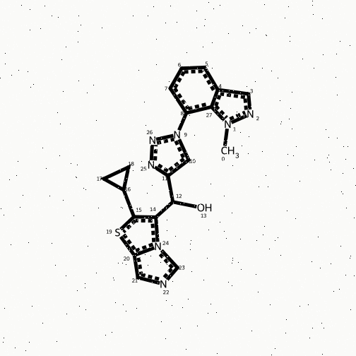 Cn1ncc2cccc(-n3cc(C(O)c4c(C5CC5)sc5cncn45)nn3)c21